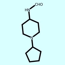 O=CNC1CCN(C2CCCC2)CC1